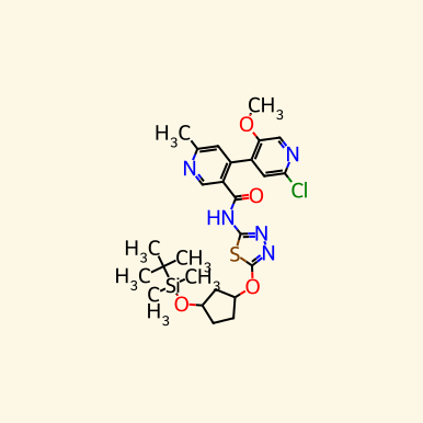 COc1cnc(Cl)cc1-c1cc(C)ncc1C(=O)Nc1nnc(OC2CCC(O[Si](C)(C)C(C)(C)C)C2)s1